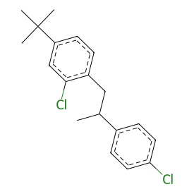 CC(Cc1ccc(C(C)(C)C)cc1Cl)c1ccc(Cl)cc1